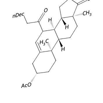 CCCCCCCCCCCC(=O)C1C=C2C[C@@H](OC(C)=O)CC[C@]2(C)[C@H]2CC[C@]3(C)C(=O)CC[C@H]3[C@H]12